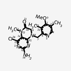 COc1c(C)cnc(CN2CC(=O)N(C)c3c(Cl)nc(N)nc32)c1C